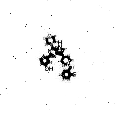 Oc1cccc(-c2nc(N3CCOCC3)c3[nH]cc(C4CCN(Cc5ccccc5F)CC4)c3n2)c1